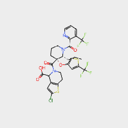 CCC[C@H]1N(C(=O)c2ncccc2C(F)(F)F)CCC[C@]1(Oc1csc(C(F)(F)F)c1)C(=O)N1CCc2sc(Cl)cc2C1C(=O)O